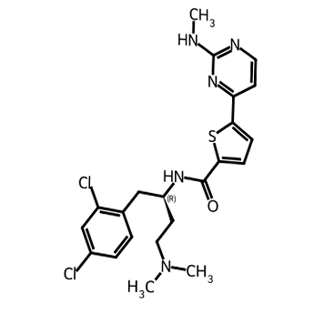 CNc1nccc(-c2ccc(C(=O)N[C@@H](CCN(C)C)Cc3ccc(Cl)cc3Cl)s2)n1